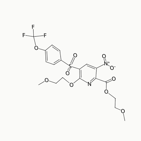 COCCOC(=O)c1nc(OCCOC)c(S(=O)(=O)c2ccc(OC(F)(F)F)cc2)cc1[N+](=O)[O-]